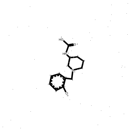 O=C(O)NC1CCCN(Cc2ccccc2Cl)C1